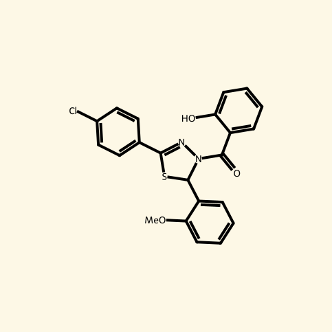 COc1ccccc1C1SC(c2ccc(Cl)cc2)=NN1C(=O)c1ccccc1O